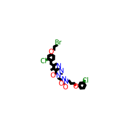 Cc1c(Cc2ccc(OCCCBr)cc2Cl)cnc2ncn(Cc3nn(CCCOc4cccc(Cl)c4)c(=O)o3)c(=O)c12